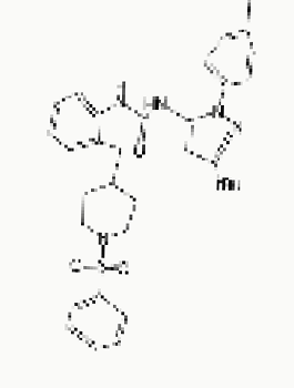 Cc1ccc(-n2nc(C(C)(C)C)cc2NC(=O)Nc2ccccc2CC2CCN(S(=O)(=O)c3ccccc3)CC2)cc1